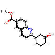 COC(=O)c1ccc2nc(C3CCCC(=O)C3)ccc2c1